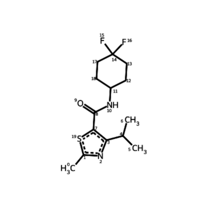 Cc1nc(C(C)C)c(C(=O)NC2CCC(F)(F)CC2)s1